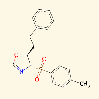 Cc1ccc(S(=O)(=O)[C@@H]2N=CO[C@H]2CCc2ccccc2)cc1